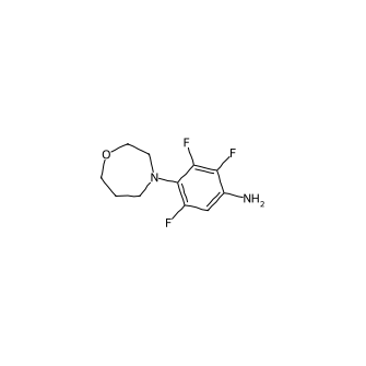 Nc1cc(F)c(N2CCCOCC2)c(F)c1F